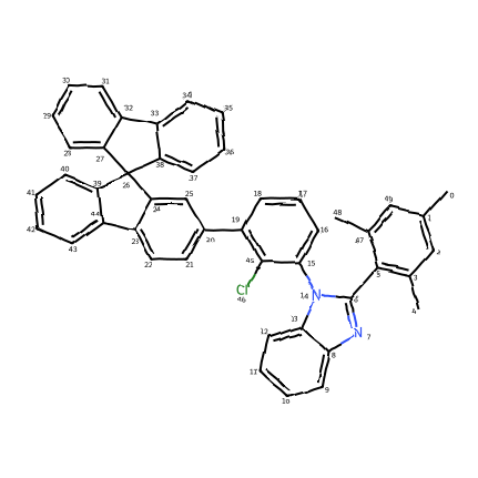 Cc1cc(C)c(-c2nc3ccccc3n2-c2cccc(-c3ccc4c(c3)C3(c5ccccc5-c5ccccc53)c3ccccc3-4)c2Cl)c(C)c1